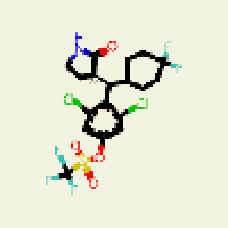 O=C1NCC[C@@H]1C(c1c(Cl)cc(OS(=O)(=O)C(F)(F)F)cc1Cl)C1CCC(F)(F)CC1